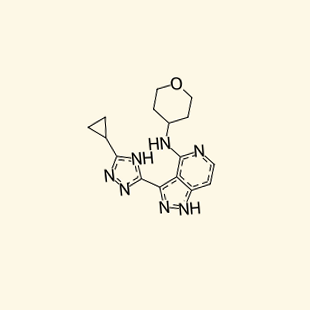 c1cc2[nH]nc(-c3nnc(C4CC4)[nH]3)c2c(NC2CCOCC2)n1